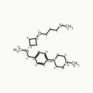 CSCCCO[C@H]1C[C@H](N(C)Cc2ccc(N3CCN(C)CC3)cc2)C1